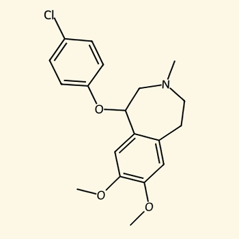 COc1cc2c(cc1OC)C(Oc1ccc(Cl)cc1)CN(C)CC2